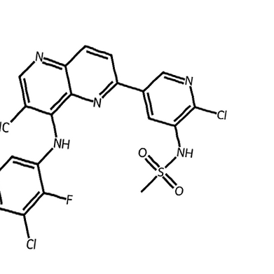 CS(=O)(=O)Nc1cc(-c2ccc3ncc(C#N)c(Nc4cccc(Cl)c4F)c3n2)cnc1Cl